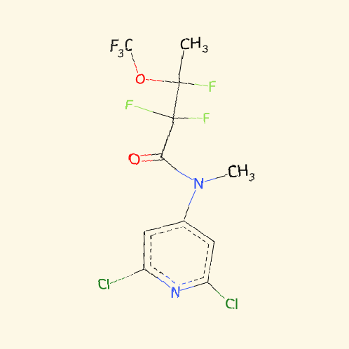 CN(C(=O)C(F)(F)C(C)(F)OC(F)(F)F)c1cc(Cl)nc(Cl)c1